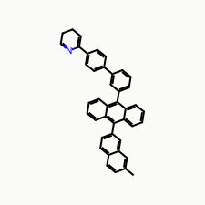 Cc1ccc2ccc(-c3c4ccccc4c(-c4cccc(-c5ccc(C6=CCCC=N6)cc5)c4)c4ccccc34)cc2c1